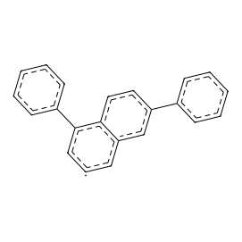 [c]1cc(-c2ccccc2)c2ccc(-c3ccccc3)cc2c1